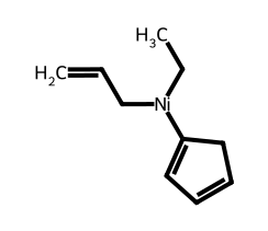 C=C[CH2][Ni]([CH2]C)[C]1=CC=CC1